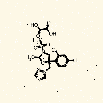 CC1OC(Cn2cncn2)(c2ccc(Cl)cc2Cl)CN1S(C)(=O)=O.O=C(O)C(=O)O